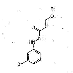 CCOC=CC(=O)NNc1cccc(Br)c1